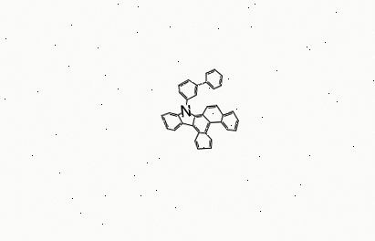 c1ccc(-c2cccc(-n3c4ccccc4c4c5ccccc5c5c6ccccc6ccc5c43)c2)cc1